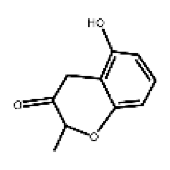 CC1Oc2cccc(O)c2CC1=O